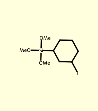 CO[Si](OC)(OC)C1CCCC(I)C1